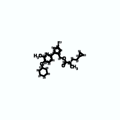 Cc1nc(-c2sc(F)cc2COC(=O)N(C)CCC2CC2)ccc1OC1CCCCC1